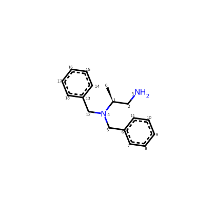 C[C@@H](CN)N(Cc1ccccc1)Cc1ccccc1